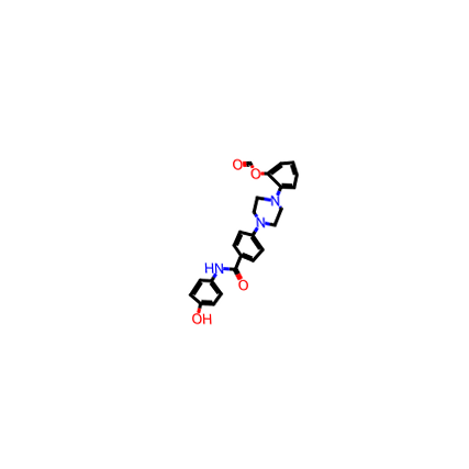 O=COc1ccccc1N1CCN(c2ccc(C(=O)Nc3ccc(O)cc3)cc2)CC1